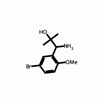 COc1ccc(Br)cc1C(N)C(C)(C)O